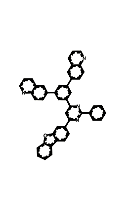 c1ccc(-c2nc(-c3cc(-c4ccc5ncccc5c4)cc(-c4ccc5ncccc5c4)c3)cc(-c3ccc4c(c3)oc3ccccc34)n2)cc1